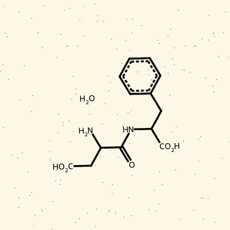 NC(CC(=O)O)C(=O)NC(Cc1ccccc1)C(=O)O.O